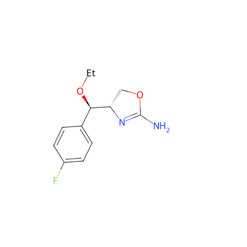 CCO[C@H](c1ccc(F)cc1)[C@@H]1COC(N)=N1